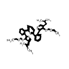 CCOCOc1c(CC(C)C)csc1-c1ccccc1-c1cccc(-c2ccccc2-c2scc(CC(C)C)c2OCOCC)n1